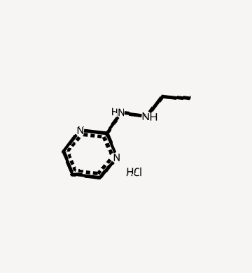 CCNNc1ncccn1.Cl